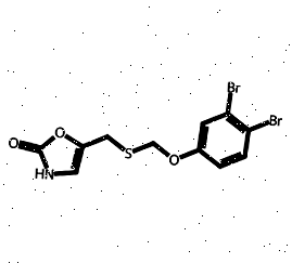 O=c1[nH]cc(CSCOc2ccc(Br)c(Br)c2)o1